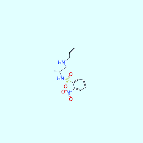 C=CCNC[C@@H](C)NS(=O)(=O)c1ccccc1[N+](=O)[O-]